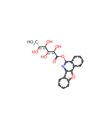 O=C(O)[C@@H](O)[C@@H](O)[C@H](O)[C@@H](O)C(=O)Oc1nc2c3ccccc3oc2c2ccccc12